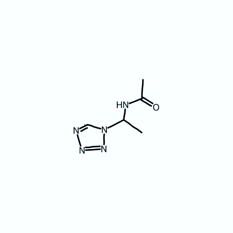 CC(=O)NC(C)n1[c]nnn1